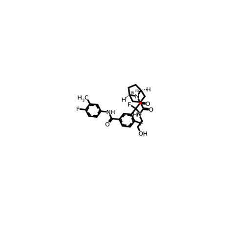 Cc1cc(NC(=O)c2ccc(F)c(C(F)(F)C(=O)N3[C@@H]4CC[C@H]3CC(C(=O)NCCO)C4)c2)ccc1F